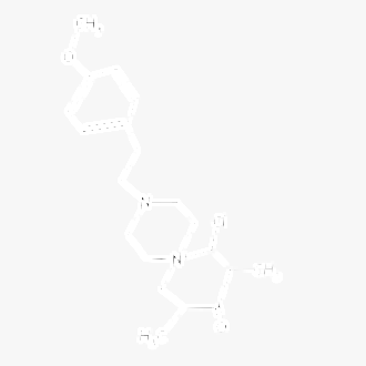 COc1ccc(CCN2CC[N+]3(CC2)CC(C)C(=O)C(C)C3Cl)cc1